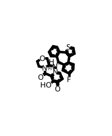 O=C1c2c(O)c(=O)ccn2N([C@H]2c3cc(F)ccc3-c3ccsc3-c3ccccc32)[C@@H]2COCCN12